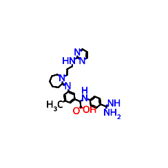 Cc1cc(/N=C2\CCCCCN2CCCNc2ncccn2)cc(C(Nc2ccc(C(=N)N)cc2)C(=O)O)c1